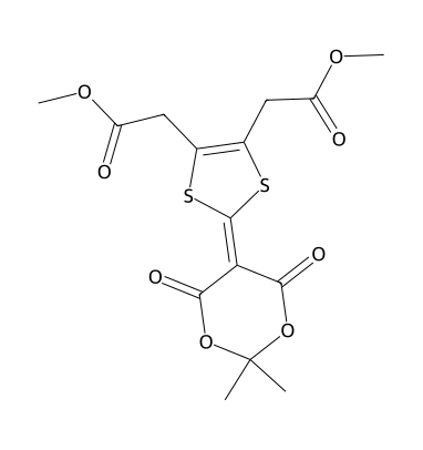 COC(=O)CC1=C(CC(=O)OC)SC(=C2C(=O)OC(C)(C)OC2=O)S1